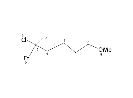 CCC(C)(Cl)CCCCOC